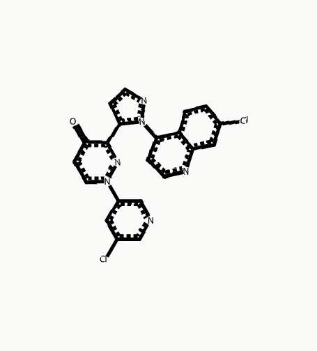 O=c1ccn(-c2cncc(Cl)c2)nc1-c1ccnn1-c1ccnc2cc(Cl)ccc12